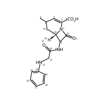 CC1C=C(C(=O)O)N2C(=O)C(NC(=O)CNc3ccccc3)[C@@H]2S1